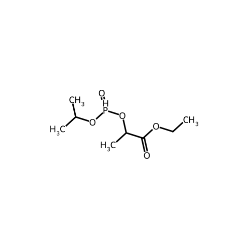 CCOC(=O)C(C)O[PH](=O)OC(C)C